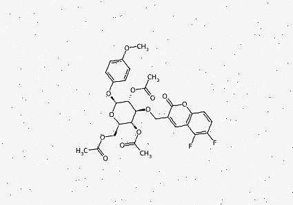 COc1ccc(O[C@@H]2O[C@H](COC(C)=O)[C@H](OC(C)=O)[C@H](OCc3cc4c(F)c(F)ccc4oc3=O)[C@H]2OC(C)=O)cc1